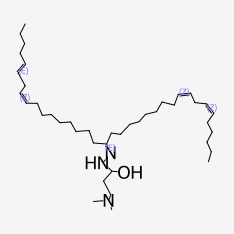 CCCC/C=C/C/C=C\CCCCCCCC/C(CCCCCCCC/C=C\C/C=C\CCCCC)=N\NC(O)CCN(C)C